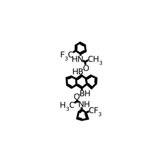 CC(Nc1ccccc1C(F)(F)F)OBc1c2ccccc2c(BOC(C)Nc2ccccc2C(F)(F)F)c2ccccc12